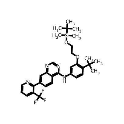 CC(C)(C)c1ccc(Nc2ncnc3cc(-c4ncccc4C(F)(F)F)ccc23)cc1OCCO[Si](C)(C)C(C)(C)C